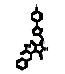 O=C(O)C(Cc1ccccc1)N1C(=O)/C(=C\c2ccc(-c3ccc(I)cc3)o2)NC1=S